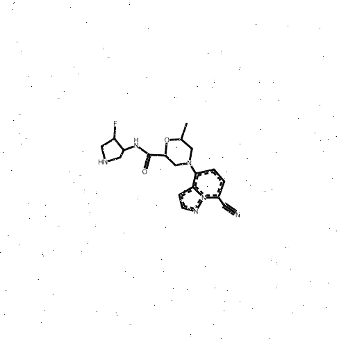 CC1CN(c2ccc(C#N)n3nccc23)CC(C(=O)NC2CNCC2F)O1